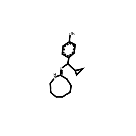 CCCCc1ccc(C(N=C2CCCCCCCN2)C2CC2)cc1